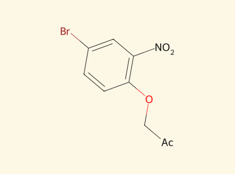 CC(=O)COc1ccc(Br)cc1[N+](=O)[O-]